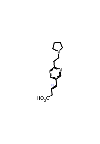 O=C(O)C/C=C/c1ccc(CCN2CCCC2)nc1